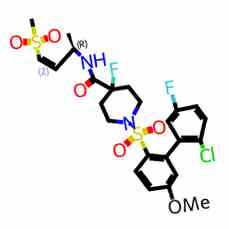 COc1ccc(S(=O)(=O)N2CCC(F)(C(=O)N[C@H](C)/C=C\S(C)(=O)=O)CC2)c(-c2cc(F)ccc2Cl)c1